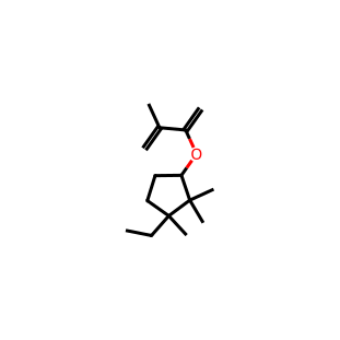 C=C(C)C(=C)OC1CCC(C)(CC)C1(C)C